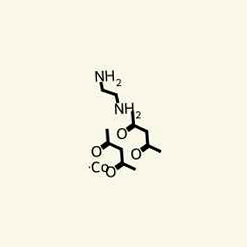 CC(=O)CC(C)=O.CC(=O)CC(C)=O.NCCN.[Co]